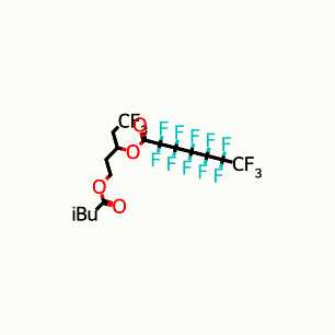 CCC(C)C(=O)OCCC(CC(F)(F)F)OC(=O)C(F)(F)C(F)(F)C(F)(F)C(F)(F)C(F)(F)C(F)(F)F